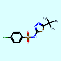 CC(C)(C)c1nnc(NS(=O)(=O)c2ccc(Br)cc2)s1